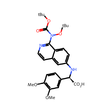 COc1ccc([C@@H](Nc2ccc3c(N(OC(C)(C)C)C(=O)OC(C)(C)C)nccc3c2)C(=O)O)cc1OC